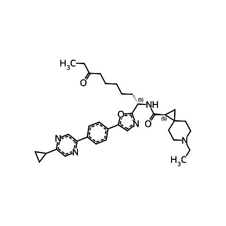 CCC(=O)CCCCC[C@H](NC(=O)[C@H]1CC12CCN(CC)CC2)c1ncc(-c2ccc(-c3cnc(C4CC4)cn3)cc2)o1